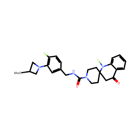 COC1CN(c2cc(CNC(=O)N3CCC4(CC3)CC(=O)c3ccccc3N4F)ccc2F)C1